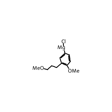 COCCCc1c[c]([Mg][Cl])ccc1OC